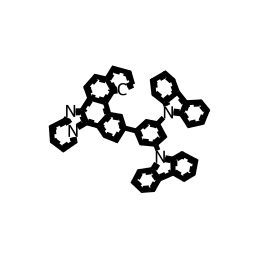 c1ccc2c(c1)ccc1c3nc4ccccn4c3c3ccc(-c4cc(-n5c6ccccc6c6ccccc65)cc(-n5c6ccccc6c6ccccc65)c4)cc3c21